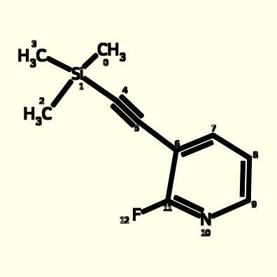 C[Si](C)(C)C#Cc1cccnc1F